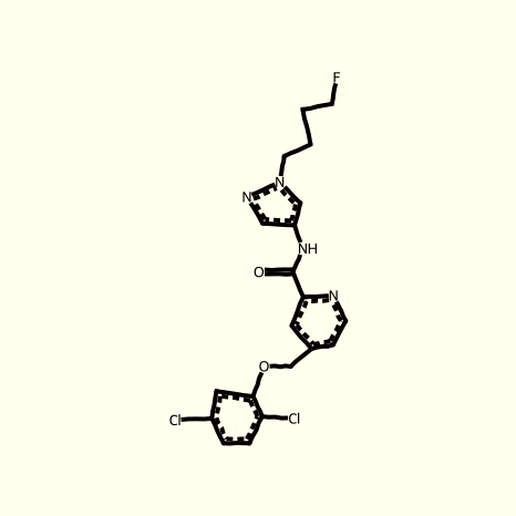 O=C(Nc1cnn(CCCCF)c1)c1cc(COc2cc(Cl)ccc2Cl)ccn1